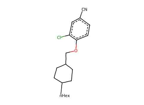 CCCCCCC1CCC(COc2ccc(C#N)cc2Cl)CC1